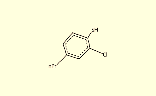 CCCc1ccc(S)c(Cl)c1